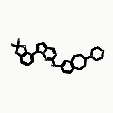 FC1(F)Oc2cccc(-c3ccc4cnc(Nc5ccc6c(c5)CCC(N5CCOCC5)CC6)nn34)c2O1